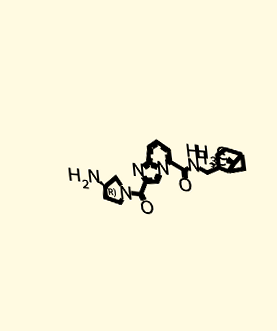 CC1(C)C2CCC(CNC(=O)c3cccc4nc(C(=O)N5CC[C@@H](N)C5)cn34)C1C2